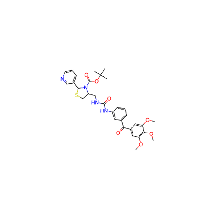 COc1cc(C(=O)c2cccc(NC(=O)NCC3CSC(c4cccnc4)N3C(=O)OC(C)(C)C)c2)cc(OC)c1OC